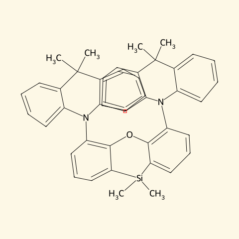 CC1(C)c2ccccc2N(c2cccc3c2Oc2c(N4c5ccccc5C(C)(C)c5ccccc54)cccc2[Si]3(C)C)c2ccccc21